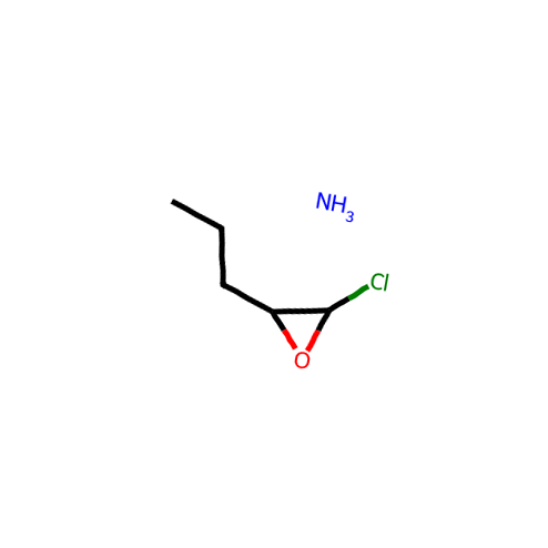 CCCC1OC1Cl.N